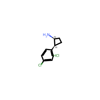 Cl.N[C@H]1CC[C@H]1c1ccc(Cl)cc1